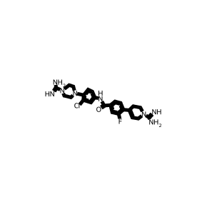 N=C(N)N1CC=C(c2ccc(C(=O)Nc3ccc(N4CCN(C(=N)N)CC4)c(Cl)c3)cc2F)CC1